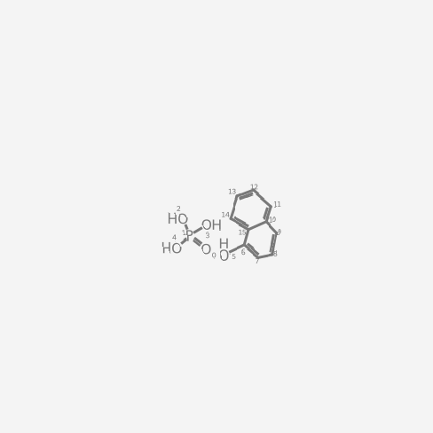 O=P(O)(O)O.Oc1cccc2ccccc12